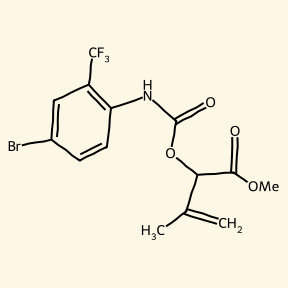 C=C(C)C(OC(=O)Nc1ccc(Br)cc1C(F)(F)F)C(=O)OC